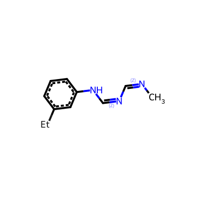 CCc1cccc(N/C=N\C=N/C)c1